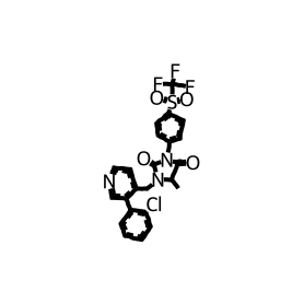 CC1C(=O)N(c2ccc(S(=O)(=O)C(F)(F)F)cc2)C(=O)N1Cc1ccncc1-c1ccccc1Cl